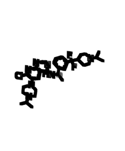 CC(C)N1CCC(C(F)(F)c2cccc([C@@H](C)Nc3ncnc4nc(Cl)c(N5CCN(C(C)C)CC5)cc34)c2)CC1